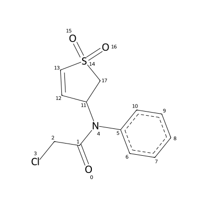 O=C(CCl)N(c1ccccc1)C1C=CS(=O)(=O)C1